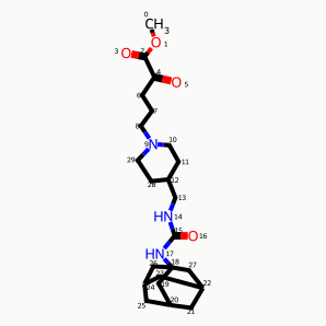 COC(=O)C(=O)CCCN1CCC(CNC(=O)NC23CC4CC(CC(C4)C2)C3)CC1